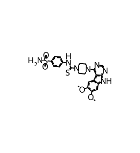 COc1cc2[nH]c3ncnc(N4CCN(C(=S)Nc5ccc(S(N)(=O)=O)cc5)CC4)c3c2cc1OC